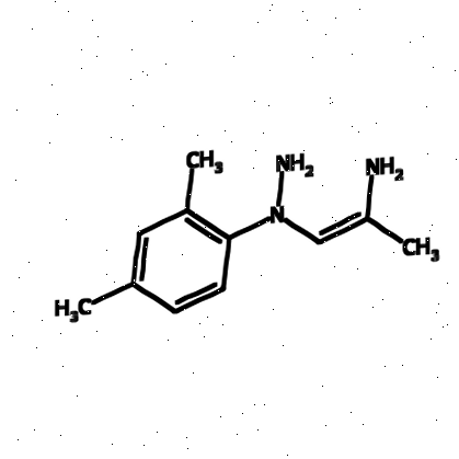 C/C(N)=C/N(N)c1ccc(C)cc1C